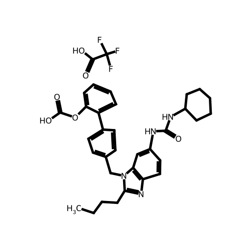 CCCCc1nc2ccc(NC(=O)NC3CCCCC3)cc2n1Cc1ccc(-c2ccccc2OC(=O)O)cc1.O=C(O)C(F)(F)F